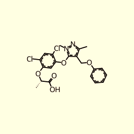 Cc1nn(C)c(Oc2cc(O[C@@H](C)C(=O)O)c(Cl)cc2Cl)c1COc1ccccc1